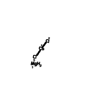 [Cl][Co][Cl].[MgH2]